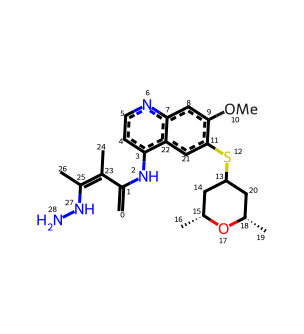 C=C(Nc1ccnc2cc(OC)c(SC3C[C@@H](C)O[C@@H](C)C3)cc12)/C(C)=C(/C)NN